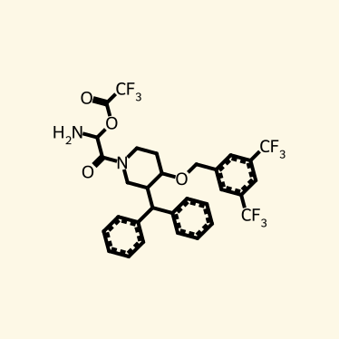 NC(OC(=O)C(F)(F)F)C(=O)N1CCC(OCc2cc(C(F)(F)F)cc(C(F)(F)F)c2)C(C(c2ccccc2)c2ccccc2)C1